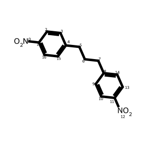 O=[N+]([O-])c1ccc(CCCc2ccc([N+](=O)[O-])cc2)cc1